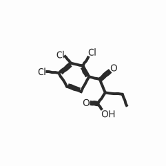 CCC(C(=O)O)C(=O)c1ccc(Cl)c(Cl)c1Cl